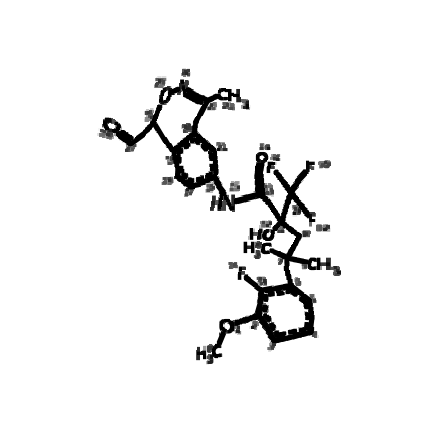 COc1cccc(C(C)(C)CC(O)(C(=O)Nc2ccc3c(c2)C(C)=NOC3C=O)C(F)(F)F)c1F